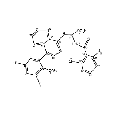 COc1c(F)cc(F)cc1-c1ccc(CC(NC(=O)c2c(Cl)cccc2Cl)C(=O)O)c2ncccc12